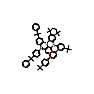 CC(C)c1cc2c3c(c1)N(c1ccc(C(C)(C)C)cc1-c1ccc(-c4ccc(C(C)(C)C)cc4)cc1)c1cc4c(cc1B3c1cc(C(C)(C)c3ccccc3)ccc1N2c1ccc(C(C)(C)c2ccccc2)cc1)C(C)(C)CCC4(C)C